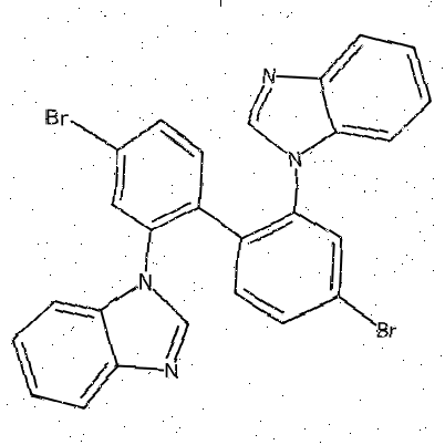 Brc1ccc(-c2ccc(Br)cc2-n2cnc3ccccc32)c(-n2cnc3ccccc32)c1